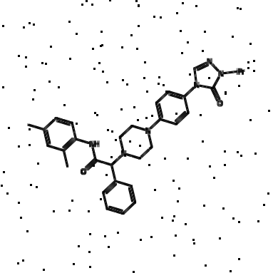 Cc1ccc(NC(=O)C(c2ccccc2)N2CCN(c3ccc(-n4cnn(C(C)C)c4=O)cc3)CC2)c(C)c1